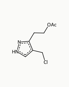 CC(=O)OCCc1n[nH]cc1CCl